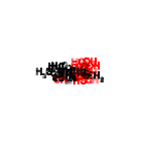 CC1C2(C)CCC(OC3OC(C(=O)O)C(O)C(O[C@@H]4O[C@@H](C)C(O)C(O)C4O)C3OC3OC(CO)C(O)C(O)C3O)C(C)(C=O)[C@@H]2CC[C@@]12C=C1C3CC(C)(C)CCC3(C(=O)O)[C@H](O)C[C@]12C